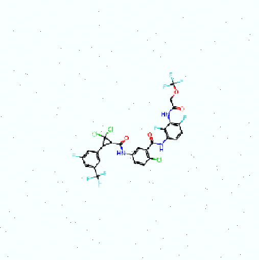 O=C(COC(F)(F)F)Nc1c(F)ccc(NC(=O)c2cc(NC(=O)[C@H]3C(c4cc(F)cc(C(F)(F)F)c4)C3(Cl)Cl)ccc2Cl)c1F